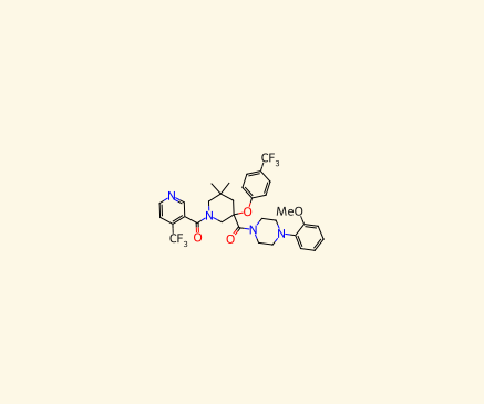 COc1ccccc1N1CCN(C(=O)C2(Oc3ccc(C(F)(F)F)cc3)CN(C(=O)c3cnccc3C(F)(F)F)CC(C)(C)C2)CC1